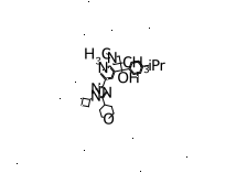 CC(C)c1ccc([C@](O)(c2cncc(-c3nc(C4CCOCC4)n(C4CCC4)n3)c2)C2(C)CN(C)C2)cc1